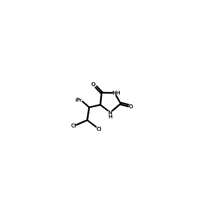 CC(C)C(C(Cl)Cl)C1NC(=O)NC1=O